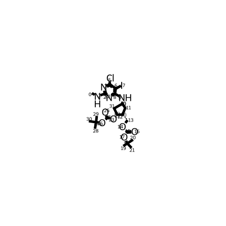 CNc1nc(Cl)c(I)c(N[C@@H]2C[C@H](COC(=O)OC(C)(C)C)[C@@H](OC(=O)OC(C)(C)C)C2)n1